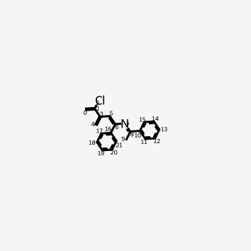 C=C(Cl)C(=C)/C=C(/N=C(\C)c1ccccc1)c1ccccc1